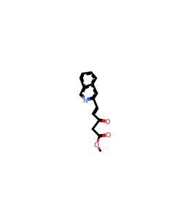 COC(=O)CC(=O)C=Cc1cc2ccccc2cn1